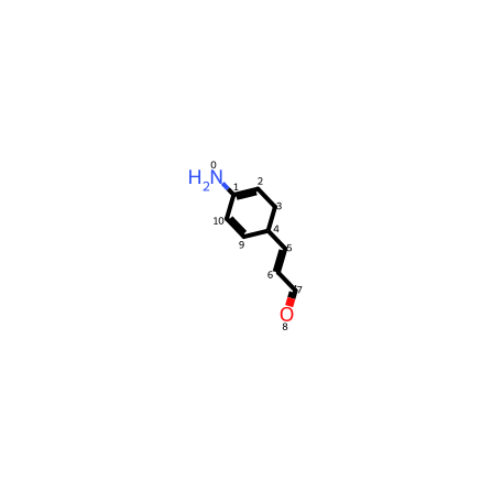 NC1=CCC(C=C[C]=O)C=C1